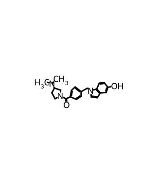 CN(C)C1CCN(C(=O)c2ccc(Cn3ccc4cc(O)ccc43)cc2)C1